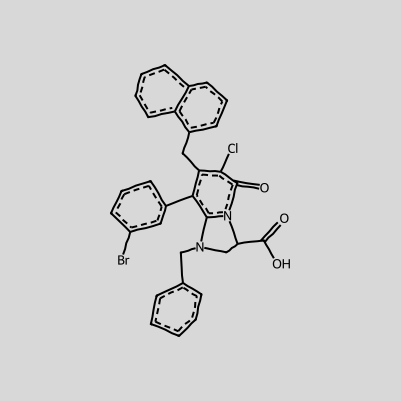 O=C(O)C1CN(Cc2ccccc2)c2c(-c3cccc(Br)c3)c(Cc3cccc4ccccc34)c(Cl)c(=O)n21